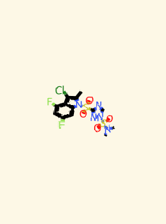 Cc1c(Cl)c2c(F)cc(F)cc2n1S(=O)(=O)c1ncn(S(=O)(=O)N(C)C)n1